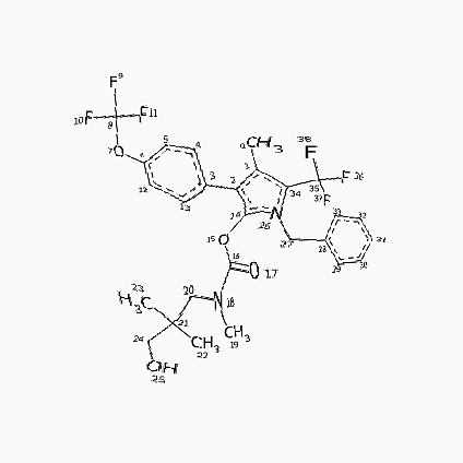 Cc1c(-c2ccc(OC(F)(F)F)cc2)c(OC(=O)N(C)CC(C)(C)CO)n(Cc2ccccc2)c1C(F)(F)F